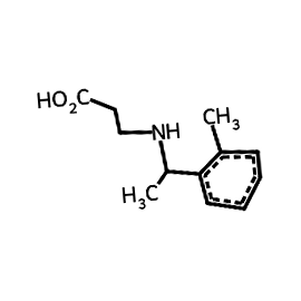 Cc1ccccc1C(C)NCCC(=O)O